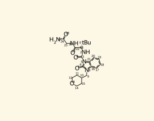 CC(C)(C)[C@H](NC(=O)n1c(=O)n(CC2CCOCC2)c2ccccc21)C(=O)NCC(N)=O